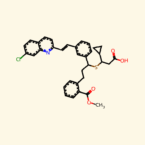 COC(=O)c1ccccc1CCC(SC(CC(=O)O)C1CC1)c1cccc(/C=C/c2ccc3ccc(Cl)cc3n2)c1